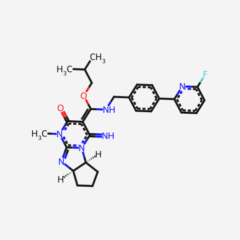 CC(C)CO/C(NCc1ccc(-c2cccc(F)n2)cc1)=c1\c(=O)n(C)c2n(c1=N)[C@H]1CCC[C@H]1N=2